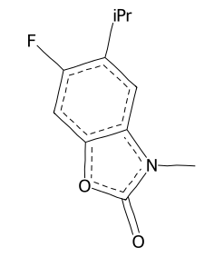 CC(C)c1cc2c(cc1F)oc(=O)n2C